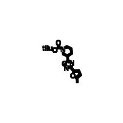 Cc1ccc(-c2noc(C3CCCN(C(=O)OC(C)(C)C)C3)n2)o1